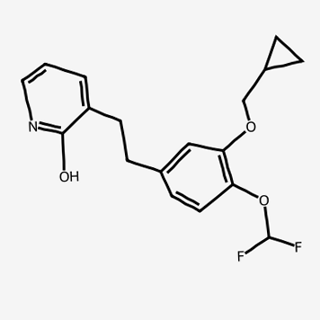 Oc1ncccc1CCc1ccc(OC(F)F)c(OCC2CC2)c1